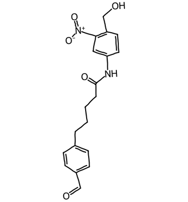 O=Cc1ccc(CCCCC(=O)Nc2ccc(CO)c([N+](=O)[O-])c2)cc1